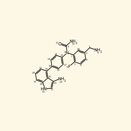 NCc1ccc(F)c(N(C(N)=O)c2ccc(-c3cccc4[nH]cc(N)c34)cc2)c1